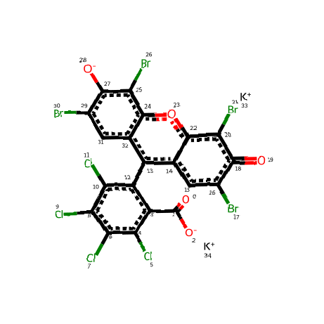 O=C([O-])c1c(Cl)c(Cl)c(Cl)c(Cl)c1-c1c2cc(Br)c(=O)c(Br)c-2oc2c(Br)c([O-])c(Br)cc12.[K+].[K+]